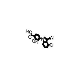 N#CC1=CN(c2ccc(C(=O)O)c(O)c2)C2C=CC=C(Cl)C12